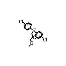 COCC(O)CS(C)(c1ccc(Cl)cc1)c1ccc(Cl)cc1